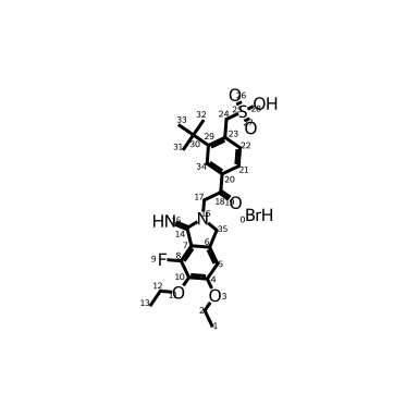 Br.CCOc1cc2c(c(F)c1OCC)C(=N)N(CC(=O)c1ccc(CS(=O)(=O)O)c(C(C)(C)C)c1)C2